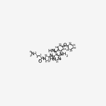 CN(C)C/C=C/C(=O)N1CCC(Nc2ncnc(N)c2C(=N)c2ccc(Oc3ccccc3)cc2)C1